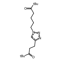 CC(C)(C)C(=O)CCCCn1cc(CCC(=O)C(C)(C)C)nn1